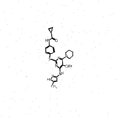 COc1c(Nc2cc(C)[nH]n2)nc(Sc2ccc(NC(=O)C3CC3)cc2)nc1N1CCCCC1